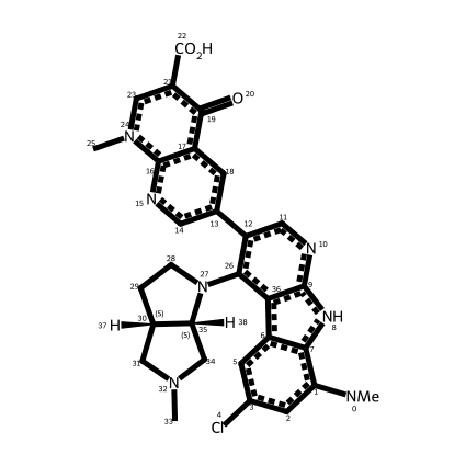 CNc1cc(Cl)cc2c1[nH]c1ncc(-c3cnc4c(c3)c(=O)c(C(=O)O)cn4C)c(N3CC[C@H]4CN(C)C[C@H]43)c12